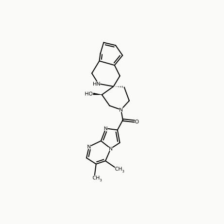 Cc1cnc2nc(C(=O)N3CC[C@]4(Cc5ccccc5CN4)[C@H](O)C3)cn2c1C